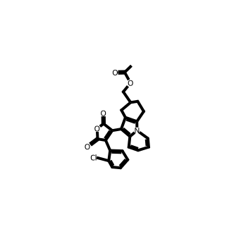 CC(=O)OCC1CCc2c(c(C3=C(c4ccccc4Cl)C(=O)OC3=O)c3ccccn23)C1